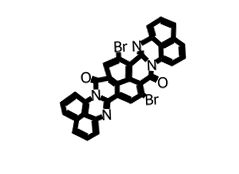 O=c1c2cc(Br)c3c4c(c(Br)cc(c24)c2nc4cccc5cccc(c54)n12)c(=O)n1c2cccc4cccc(nc31)c42